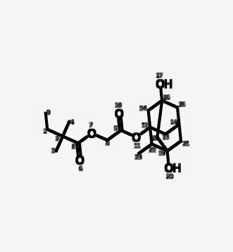 CCC(C)(C)C(=O)OCC(=O)OC12CC3CC(O)(CC(O)(C3)C1C)C2